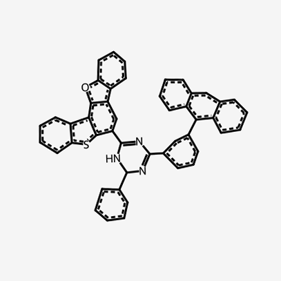 c1ccc(C2N=C(c3cccc(-c4c5ccccc5cc5ccccc45)c3)N=C(c3cc4c5ccccc5oc4c4c3sc3ccccc34)N2)cc1